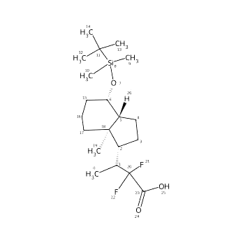 CC([C@H]1CC[C@H]2[C@@H](O[Si](C)(C)C(C)(C)C)CCC[C@]12C)C(F)(F)C(=O)O